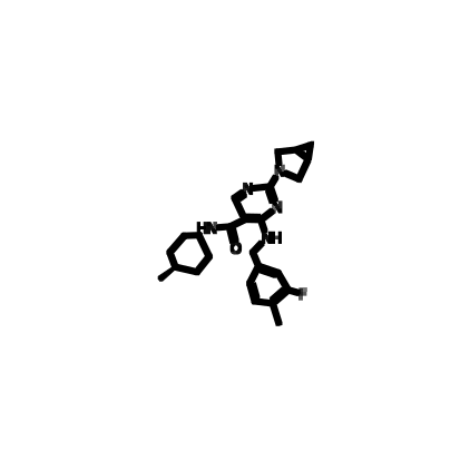 Cc1ccc(CNc2nc(N3CC4CC4C3)ncc2C(=O)N[C@H]2CC[C@H](C)CC2)cc1F